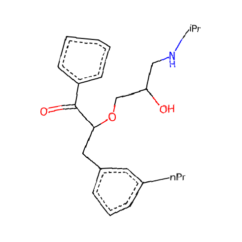 CCCc1cccc(CC(OCC(O)CNC(C)C)C(=O)c2ccccc2)c1